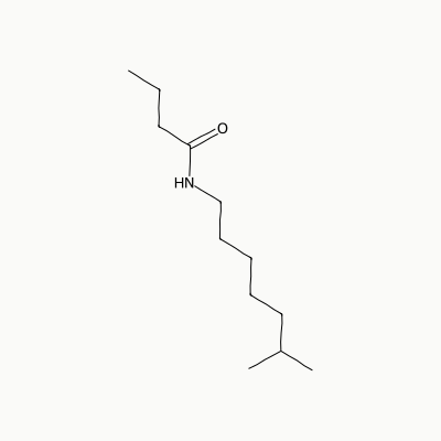 CCCC(=O)NCCCCCC(C)C